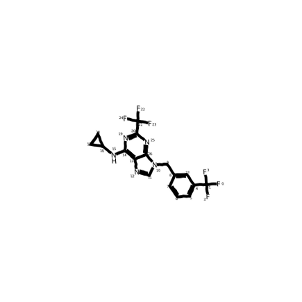 FC(F)(F)c1cccc(Cn2cnc3c(NC4CC4)nc(C(F)(F)F)nc32)c1